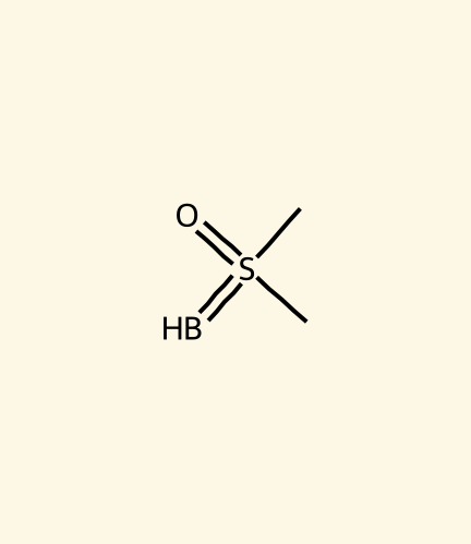 B=S(C)(C)=O